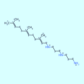 CC(C)=CCC/C(C)=C/CC/C(C)=C/CNCCCNCCCN